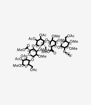 COC(=O)C1O[C@@H](O[C@H]2C(OC(C)=O)C(OC(C)=O)[C@@H](O[C@H]3C(OC)C(OC)[C@H](O[C@@H]4C(COC(C)=O)O[C@H](OC)C(OC(C)=O)[C@H]4OC(C)=O)O[C@H]3C(=O)OC)O[C@H]2COC(C)=O)C(OC)[C@@H](OC)[C@@H]1O[C@H]1OC(COC(C)=O)[C@@H](OC)[C@H](OC)C1N=[N+]=[N-]